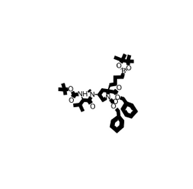 CC(C)[C@H](NC(=O)OC(C)(C)C)C(=O)N(C)[C@H]1CN(C(=O)OCc2ccccc2)[C@@](CCCCB2OC(C)(C)C(C)(C)O2)(C(=O)OCc2ccccc2)C1